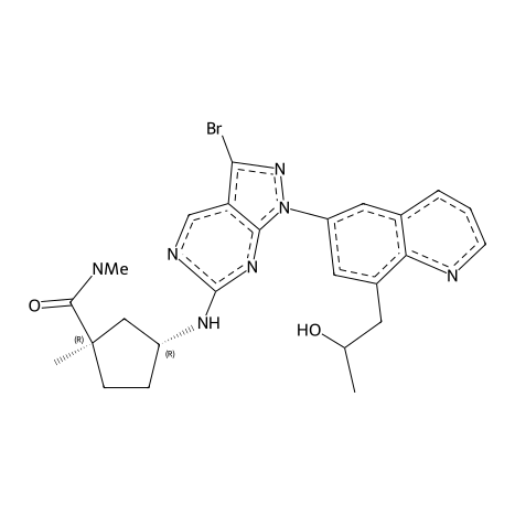 CNC(=O)[C@]1(C)CC[C@@H](Nc2ncc3c(Br)nn(-c4cc(CC(C)O)c5ncccc5c4)c3n2)C1